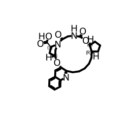 O=C1NCC(=O)N2C[C@@H](C[C@H]2C(=O)O)Oc2cc3ccccc3nc2CCCCC[C@@H]2CCC[C@H]2O1